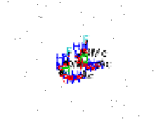 COc1cc(-c2nccc(-c3cccc(NC(=O)c4nc5c(n4C)CCN(C4CCN(C(C)=O)CC4)C5)c3Cl)c2Cl)ccc1CNCCCF.COc1cc(-c2nccc(-c3cccc(NC(=O)c4nc5c(n4C)CCN(C4CCN(C(C)=O)CC4)C5)c3Cl)c2Cl)ccc1CNCCCF